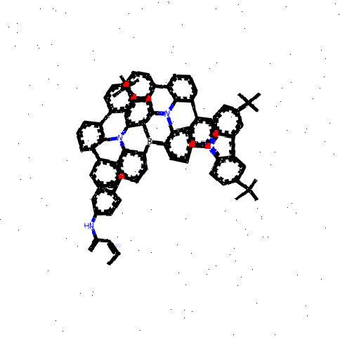 C=C(/C=C\C)Nc1ccc(-c2ccc3c(c2)N(c2c(-c4ccccc4)cccc2-c2ccccc2)c2cc(C(C)(C)C)cc4c2B3c2ccc(-n3c5ccc(C(C)(C)C)cc5c5cc(C(C)(C)C)ccc53)cc2N4c2c(-c3ccccc3)cccc2-c2ccccc2)cc1